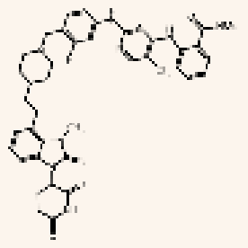 CNC(=O)c1ccccc1Nc1nc(Nc2ccc(CN3CCC(CCc4cccc5c4n(C)c(=O)n5C4CCC(=O)NC4=O)CC3)c(F)c2)ncc1C(F)(F)F